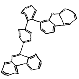 c1ccc(-c2cccc3c2oc2ccccc23)c(-c2ccc(-c3cc4ccccc4c4ccccc34)cc2)c1